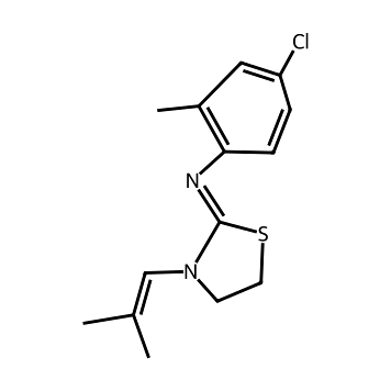 CC(C)=CN1CCSC1=Nc1ccc(Cl)cc1C